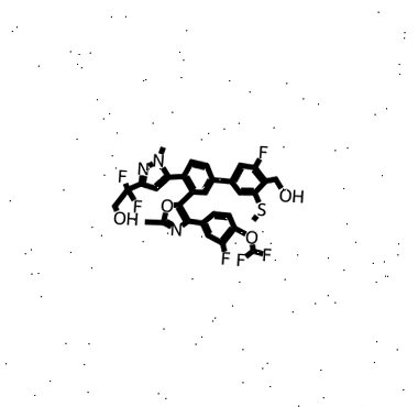 CSc1cc(-c2ccc(-c3cc(C(F)(F)CO)nn3C)c(-c3oc(C)nc3-c3ccc(OC(F)F)c(F)c3)c2)cc(F)c1CO